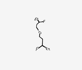 CCC(F)CCOCC(F)CC